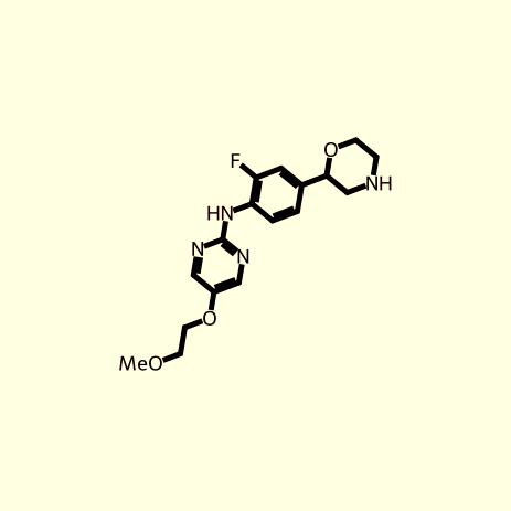 COCCOc1cnc(Nc2ccc(C3CNCCO3)cc2F)nc1